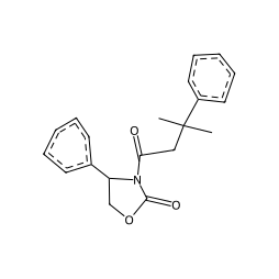 CC(C)(CC(=O)N1C(=O)OCC1c1ccccc1)c1ccccc1